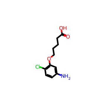 Nc1ccc(Cl)c(OCCCCC(=O)O)c1